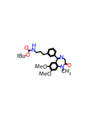 COc1cc2c(cc1OC)N(C)C(=O)CN=C2c1cccc(CCCNC(=O)OC(C)(C)C)c1